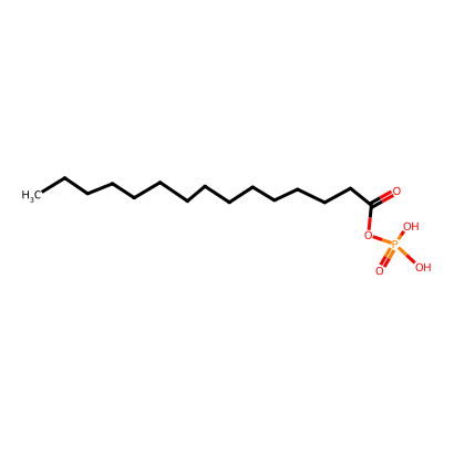 CCCCCCCCCCCCCCC(=O)OP(=O)(O)O